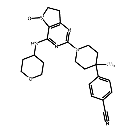 CC1(c2ccc(C#N)cc2)CCN(c2nc3c(c(NC4CCOCC4)n2)[S+]([O-])CC3)CC1